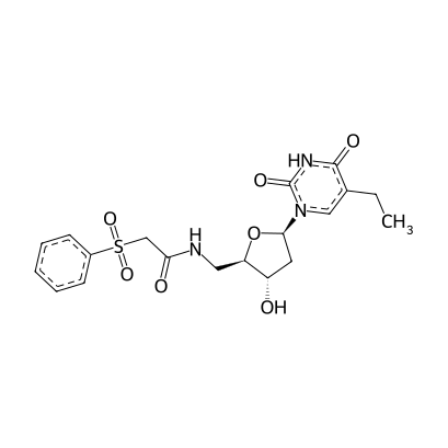 CCc1cn([C@H]2C[C@H](O)[C@@H](CNC(=O)CS(=O)(=O)c3ccccc3)O2)c(=O)[nH]c1=O